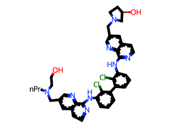 CCCN(CCO)Cc1cnc2c(Nc3cccc(-c4cccc(Nc5nccc6cc(CN7CC[C@@H](O)C7)cnc56)c4Cl)c3Cl)nccc2c1